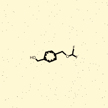 OCc1ccc(COC(F)F)cc1